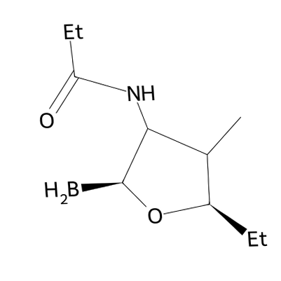 B[C@@H]1O[C@H](CC)C(C)C1NC(=O)CC